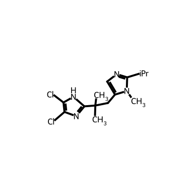 CC(C)c1ncc(CC(C)(C)c2nc(Cl)c(Cl)[nH]2)n1C